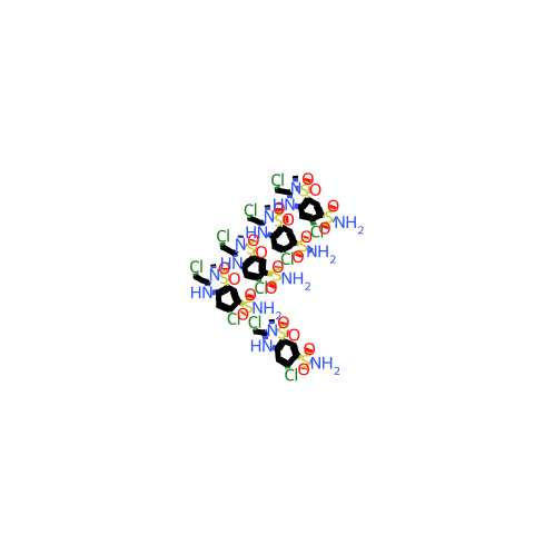 CN1C(CCl)Nc2cc(Cl)c(S(N)(=O)=O)cc2S1(=O)=O.CN1C(CCl)Nc2cc(Cl)c(S(N)(=O)=O)cc2S1(=O)=O.CN1C(CCl)Nc2cc(Cl)c(S(N)(=O)=O)cc2S1(=O)=O.CN1C(CCl)Nc2cc(Cl)c(S(N)(=O)=O)cc2S1(=O)=O.CN1C(CCl)Nc2cc(Cl)c(S(N)(=O)=O)cc2S1(=O)=O